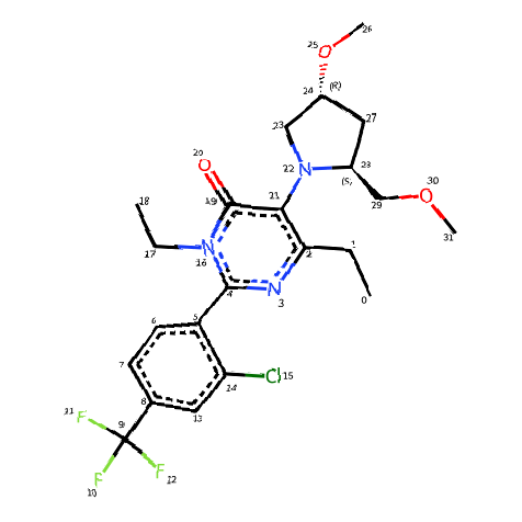 CCc1nc(-c2ccc(C(F)(F)F)cc2Cl)n(CC)c(=O)c1N1C[C@H](OC)C[C@H]1COC